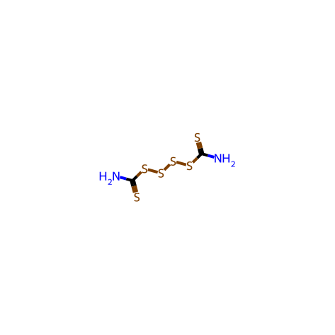 NC(=S)SSSSC(N)=S